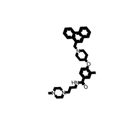 Cc1cc(C(=O)NCCCN2CCN(C)CC2)ccc1OC1CCN(Cc2cc3ccccc3c3ccccc23)CC1